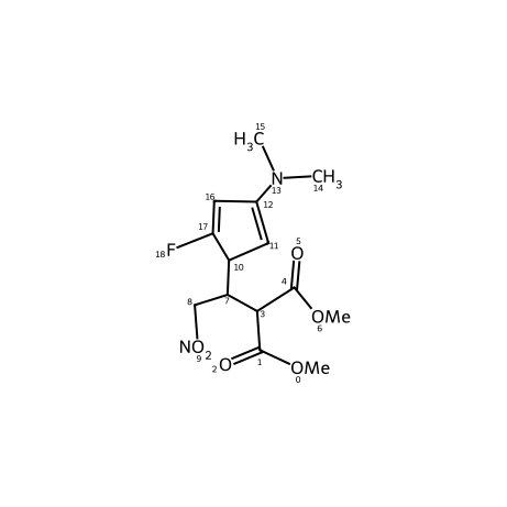 COC(=O)C(C(=O)OC)C(C[N+](=O)[O-])C1C=C(N(C)C)C=C1F